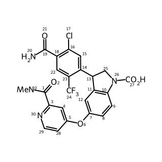 CNC(=O)c1cc(Oc2ccc3c(c2)C(c2cc(Cl)c(C(N)=O)cc2C(F)(F)F)CN3C(=O)O)ccn1